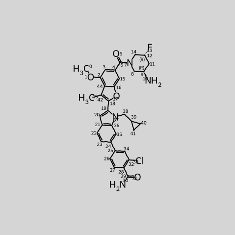 COc1cc(C(=O)N2C[C@H](N)C[C@@H](F)C2)cc2oc(-c3cc4ccc(-c5ccc(C(N)=O)c(Cl)c5)cc4n3CC3CC3)c(C)c12